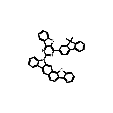 CC1(C)c2ccccc2-c2ccc(-c3nc(-n4c5ccccc5c5cc6ccc7c8ccccc8oc7c6cc54)nc4c3sc3ccccc34)cc21